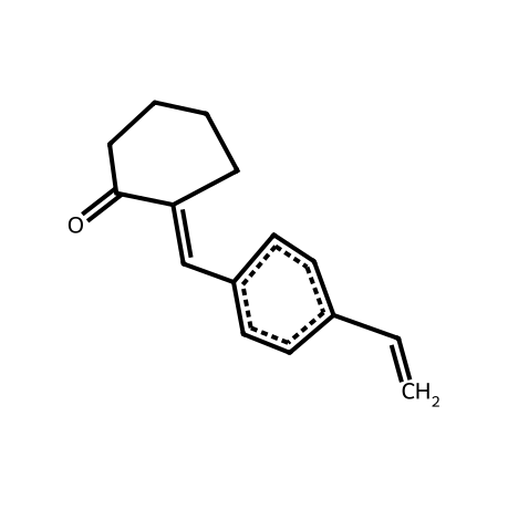 C=Cc1ccc(C=C2CCCCC2=O)cc1